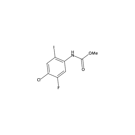 COC(=O)Nc1cc(F)c(Cl)cc1I